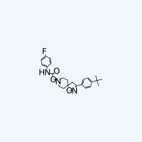 CC(C)(C)c1ccc(C2=NOC3(CCN(OC(=O)Nc4ccc(F)cc4)CC3)C2)cc1